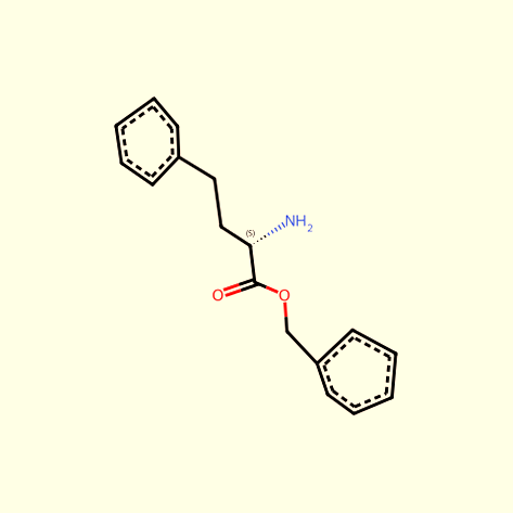 N[C@@H](CCc1ccccc1)C(=O)OCc1ccccc1